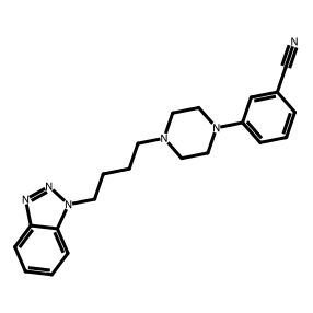 N#Cc1cccc(N2CCN(CCCCn3nnc4ccccc43)CC2)c1